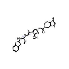 C=N/C(=N\C=C(/C)c1cn(CC(=O)N2CCc3[nH]nnc3C2)nc1O)NC1Cc2ccccc2C1